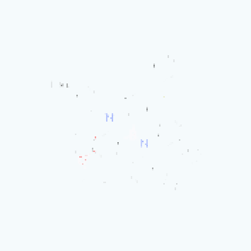 CC(C)(C)c1ccc(N2c3cc4c(cc3B3c5c2cc2oc6ccccc6c2c5-c2cccc5c2N3c2ccccc2C52c3ccccc3-c3ccccc32)Sc2ccccc2C4(C)C)c(-c2ccccc2)c1